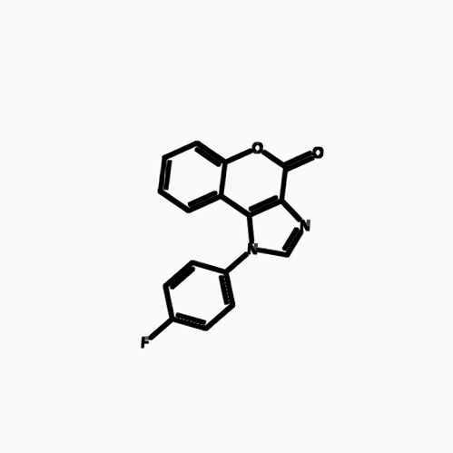 O=c1oc2ccccc2c2c1ncn2-c1ccc(F)cc1